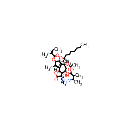 C/C=C(/C)C(=O)O[C@H]1C(C)=C2[C@H]([C@@H]1OC(=O)CCCCCCC)[C@@](C)(OC(C)=O)C[C@H](OC(=O)C(C)C(C)N)[C@]1(O)[C@@H](C)C(=O)O[C@@H]21